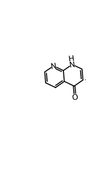 O=c1[c]c[nH]c2ncccc12